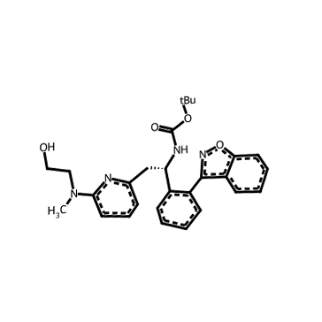 CN(CCO)c1cccc(C[C@H](NC(=O)OC(C)(C)C)c2ccccc2-c2noc3ccccc23)n1